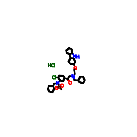 CS(=O)(=O)N(Cc1ccccc1)c1cc(C(=O)CN(CCOc2ccc3c(c2)[nH]c2ccccc23)Cc2ccccc2)ccc1Cl.Cl